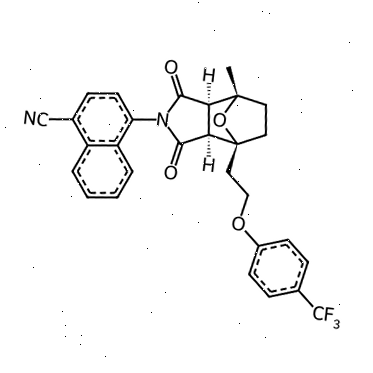 C[C@@]12CC[C@@](CCOc3ccc(C(F)(F)F)cc3)(O1)[C@H]1C(=O)N(c3ccc(C#N)c4ccccc34)C(=O)[C@H]12